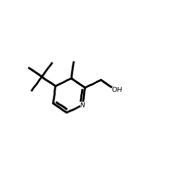 CC1C(CO)=NC=CC1C(C)(C)C